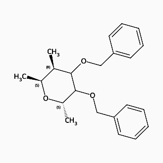 C[C@@H]1O[C@@H](C)[C@@H](C)C(OCc2ccccc2)C1OCc1ccccc1